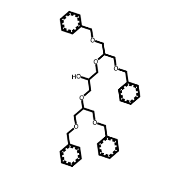 OC(COC(COCc1ccccc1)COCc1ccccc1)COC(COCc1ccccc1)COCc1ccccc1